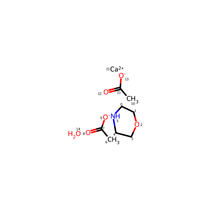 C1COCCN1.CC(=O)[O-].CC(=O)[O-].O.[Ca+2]